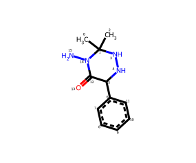 CC1(C)NNC(c2ccccc2)C(=O)N1N